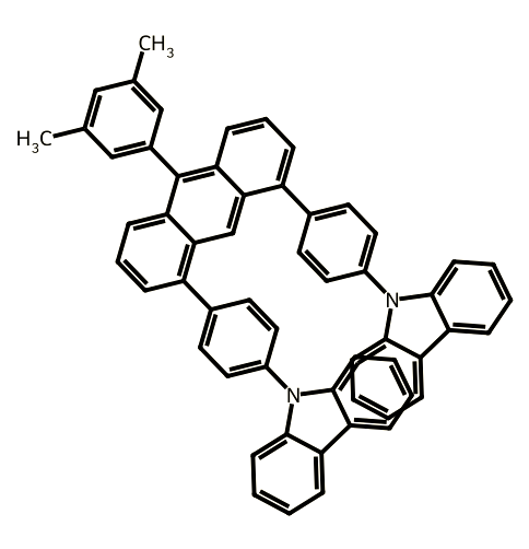 Cc1cc(C)cc(-c2c3cccc(-c4ccc(-n5c6ccccc6c6ccccc65)cc4)c3cc3c(-c4ccc(-n5c6ccccc6c6ccccc65)cc4)cccc23)c1